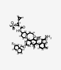 CS(=O)(=O)N1[C@@H](C(=O)NC2CCN3c4nc(OC[C@@]56CCCN5C[C@H](F)C6)nc5c(F)c(-c6ccc(F)c7sc(N)c(C#N)c67)c(Cl)c(c45)OCCC3C2)[C@@H]1C1CC1